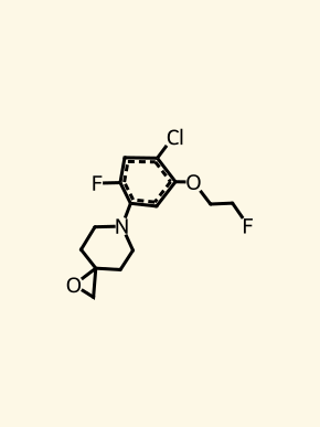 FCCOc1cc(N2CCC3(CC2)CO3)c(F)cc1Cl